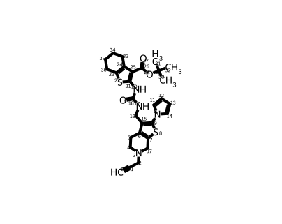 C#CCN1CCc2c(sc(-n3cccc3)c2CNC(=O)Nc2sc3c(c2C(=O)OC(C)(C)C)CCCC3)C1